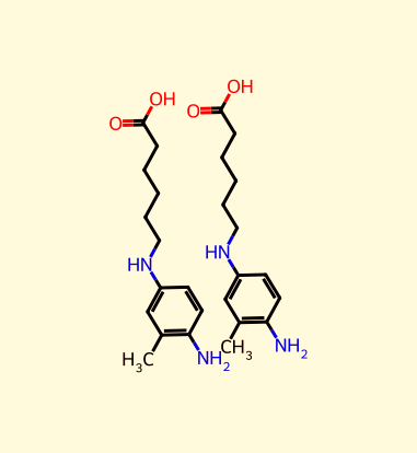 Cc1cc(NCCCCCC(=O)O)ccc1N.Cc1cc(NCCCCCC(=O)O)ccc1N